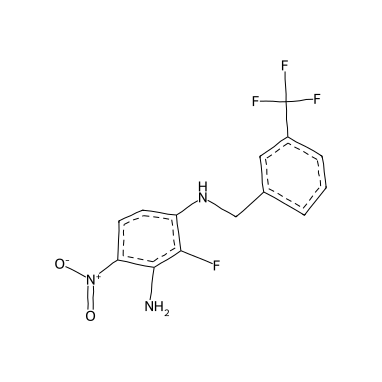 Nc1c([N+](=O)[O-])ccc(NCc2cccc(C(F)(F)F)c2)c1F